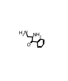 NC[C](N)C(=O)c1ccccc1